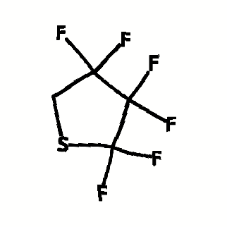 FC1(F)CSC(F)(F)C1(F)F